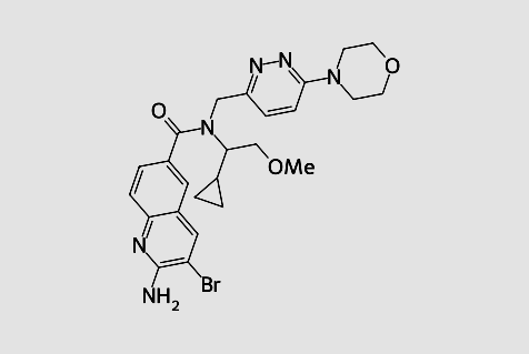 COCC(C1CC1)N(Cc1ccc(N2CCOCC2)nn1)C(=O)c1ccc2nc(N)c(Br)cc2c1